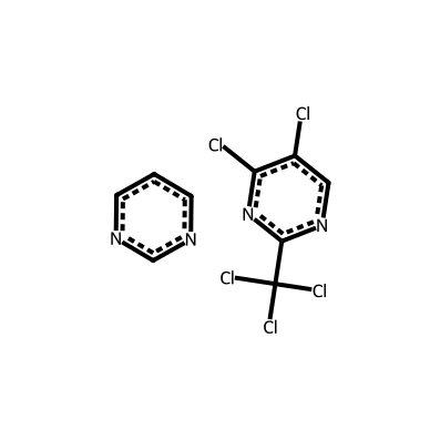 Clc1cnc(C(Cl)(Cl)Cl)nc1Cl.c1cncnc1